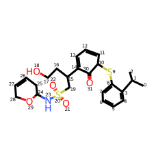 CC(C)c1ccccc1SC1C=CC=C(C(CCO)CS(=O)(=O)NC2CC=CCO2)C1=O